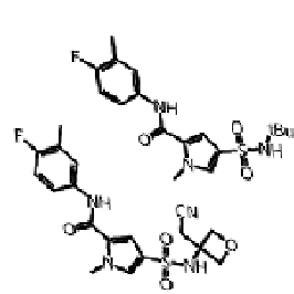 Cc1cc(NC(=O)c2cc(S(=O)(=O)NC(C)(C)C)cn2C)ccc1F.Cc1cc(NC(=O)c2cc(S(=O)(=O)NC3(CC#N)COC3)cn2C)ccc1F